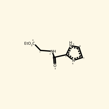 CCOC(=O)CNC(=O)c1ncc[nH]1